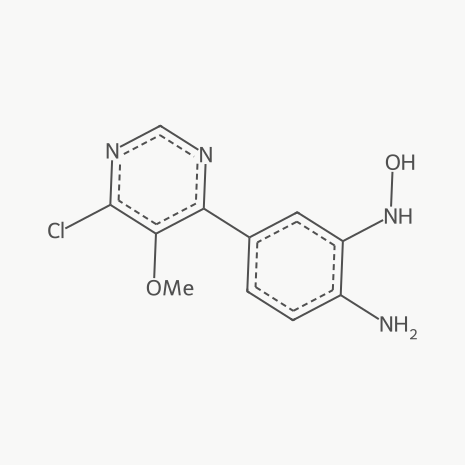 COc1c(Cl)ncnc1-c1ccc(N)c(NO)c1